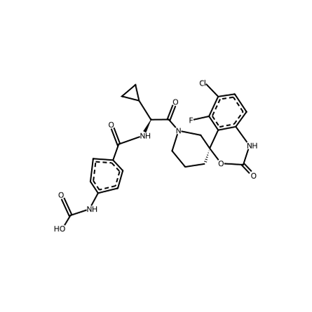 O=C(O)Nc1ccc(C(=O)N[C@H](C(=O)N2CCC[C@@]3(C2)OC(=O)Nc2ccc(Cl)c(F)c23)C2CC2)cc1